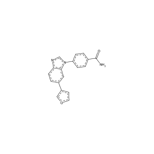 NC(=O)c1ccc(-n2cnc3ccc(-c4ccoc4)cc32)cc1